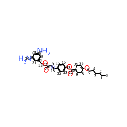 C=CCCCCOC1CCC(C(=O)Oc2ccc(/C=C/C(=O)OCc3cc(N)cc(N)c3)cc2)CC1